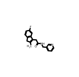 CC1=C(CC(=O)NCc2cccnc2)c2cc(F)ccc2C1